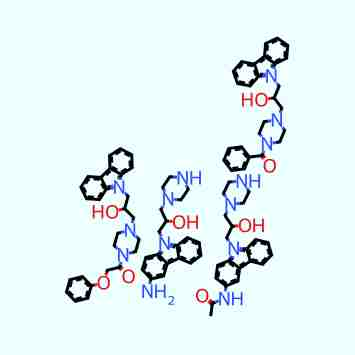 CC(=O)Nc1ccc2c(c1)c1ccccc1n2CC(O)CN1CCNCC1.Nc1ccc2c(c1)c1ccccc1n2CC(O)CN1CCNCC1.O=C(COc1ccccc1)N1CCN(CC(O)Cn2c3ccccc3c3ccccc32)CC1.O=C(c1ccccc1)N1CCN(CC(O)Cn2c3ccccc3c3ccccc32)CC1